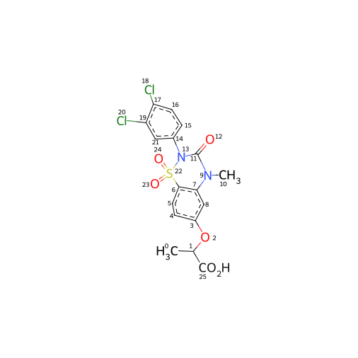 CC(Oc1ccc2c(c1)N(C)C(=O)N(c1ccc(Cl)c(Cl)c1)S2(=O)=O)C(=O)O